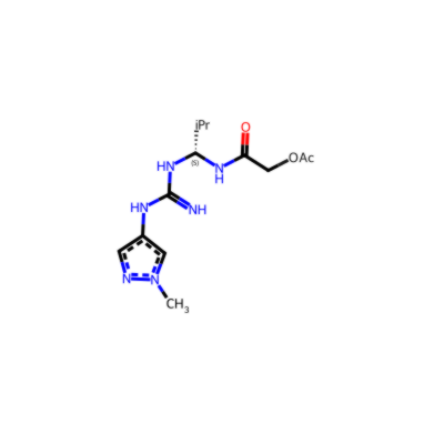 CC(=O)OCC(=O)N[C@H](NC(=N)Nc1cnn(C)c1)C(C)C